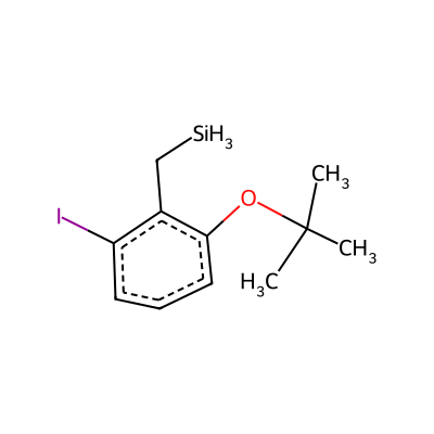 CC(C)(C)Oc1cccc(I)c1C[SiH3]